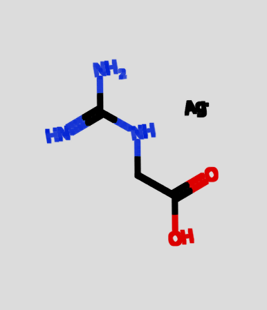 N=C(N)NCC(=O)O.[Ag]